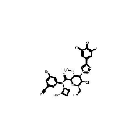 CO[C@@H]1[C@@H](n2cc(-c3cc(F)c(Cl)c(Cl)c3)nn2)[C@@H](O)[C@@H](CO)O[C@H]1C(=O)N(c1cc(Br)cc(C#N)c1)[C@H]1CC[C@@H]1O